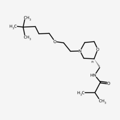 CC(C)C(=O)NC[C@@H]1CN(CCOCCCC(C)(C)C)CCO1